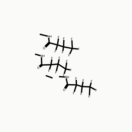 CC.CNC(=O)C(F)(F)C(F)(F)C(F)(F)F.CNC(=O)C(F)(F)C(F)(F)C(F)(F)F.CNC(=O)C(F)(F)C(F)(F)C(F)(F)F